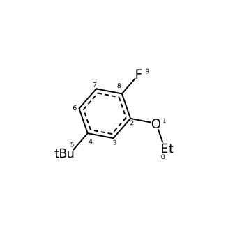 CCOc1cc(C(C)(C)C)ccc1F